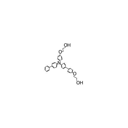 OCCCOc1ccc(-c2ccc(N(c3ccc(OCCCO)cc3)c3ccc(-c4ccccc4)cc3)cc2)cc1